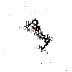 CC(=N)NCC[C@@H]1CCCC[C@@H](c2ccc(-n3cc4cc(-c5cc(CCC[C@H](C)N)cc(Cl)c5F)[nH]c4nc3=O)cc2)N1CC(C)C